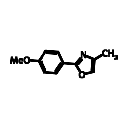 COc1ccc(-c2nc(C)co2)cc1